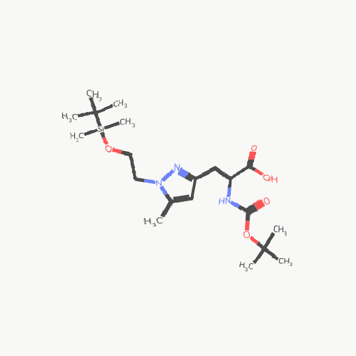 Cc1cc(CC(NC(=O)OC(C)(C)C)C(=O)O)nn1CCO[Si](C)(C)C(C)(C)C